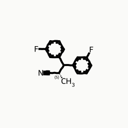 C[C@H](C#N)C(c1cccc(F)c1)c1cccc(F)c1